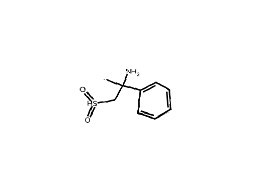 [CH2]C(N)(C[SH](=O)=O)c1ccccc1